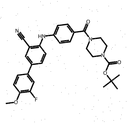 COc1ccc(-c2ccc(Nc3ccc(C(=O)N4CCN(C(=O)OC(C)(C)C)CC4)cc3)c(C#N)c2)cc1F